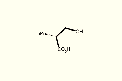 CC(C)[C@H](CO)C(=O)O